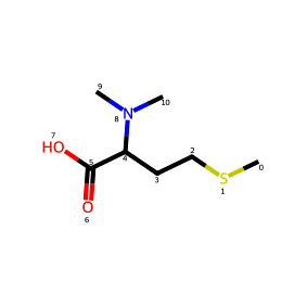 CSCCC(C(=O)O)N(C)C